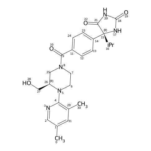 Cc1cnc(N2CCN(C(=O)c3ccc([C@@]4(C(C)C)NC(=O)NC4=O)cc3)C[C@@H]2CO)c(C)c1